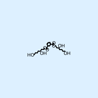 O=C(OCCC(O)CCCCO)c1cccc(C(=O)OCCC(O)CCCCO)c1